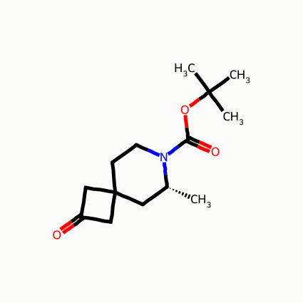 C[C@@H]1CC2(CCN1C(=O)OC(C)(C)C)CC(=O)C2